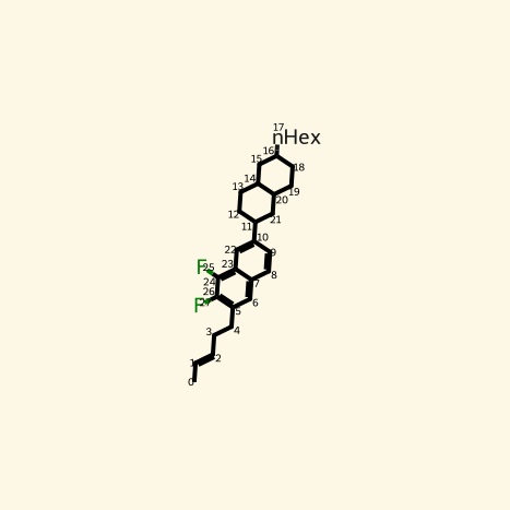 CC=CCCc1cc2ccc(C3CCC4CC(CCCCCC)CCC4C3)cc2c(F)c1F